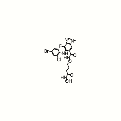 Cn1cnc2c(F)c(Nc3ccc(Br)cc3Cl)c(C(=O)NOCCCC(=O)NO)cc21